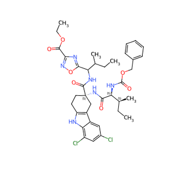 CCOC(=O)c1noc(C(NC(=O)[C@]2(NC(=O)[C@@H](NC(=O)OCc3ccccc3)[C@@H](C)CC)CCc3[nH]c4c(Cl)cc(Cl)cc4c3C2)C(C)CC)n1